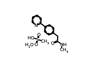 CNC(=O)Cc1ccc(-c2ccccn2)cc1.CS(=O)(=O)O.O